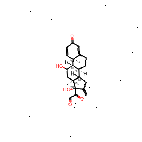 C=C1C[C@H]2[C@@H]3CCC4=CC(=O)C=C[C@]4(C)[C@H]3C(O)C[C@]2(C)[C@@]1(O)C(=O)C=O